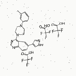 Cc1cccc(N2CCN(c3ncnc4ccc(-c5cn[nH]c5)cc34)CC2)c1.O=C(O)C(F)(F)F.O=C(O)C(F)(F)F.O=C(O)C(F)(F)F